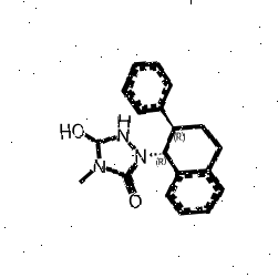 CN1C(=O)N([C@H]2c3ccccc3CC[C@@H]2c2ccccc2)NC1O